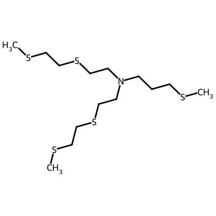 CSCCCN(CCSCCSC)CCSCCSC